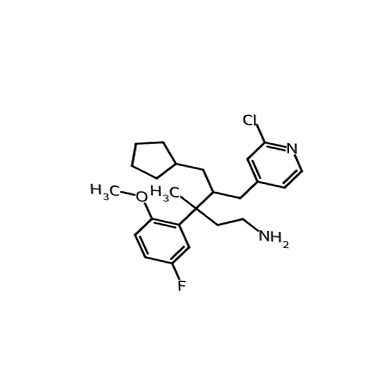 COc1ccc(F)cc1C(C)(CCN)C(Cc1ccnc(Cl)c1)CC1CCCC1